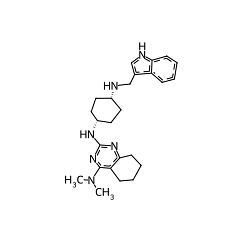 CN(C)c1nc(N[C@H]2CC[C@@H](NCc3c[nH]c4ccccc34)CC2)nc2c1CCCC2